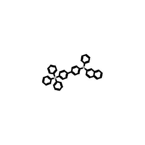 c1ccc(N(c2ccc(-c3ccc([Si](c4ccccc4)(c4ccccc4)c4ccccc4)cc3)cc2)c2ccc3ccccc3c2)cc1